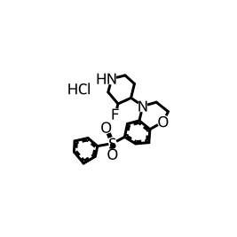 Cl.O=S(=O)(c1ccccc1)c1ccc2c(c1)N(C1CCNCC1F)CCO2